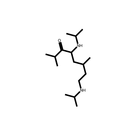 CC(CCNC(C)C)CC(NC(C)C)C(=O)C(C)C